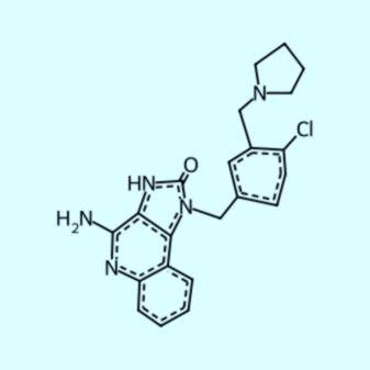 Nc1nc2ccccc2c2c1[nH]c(=O)n2Cc1ccc(Cl)c(CN2CCCC2)c1